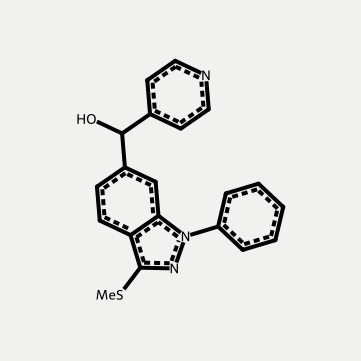 CSc1nn(-c2ccccc2)c2cc(C(O)c3ccncc3)ccc12